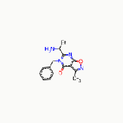 CCC(N)c1nc2onc(C(F)(F)F)c2c(=O)n1Cc1ccccc1